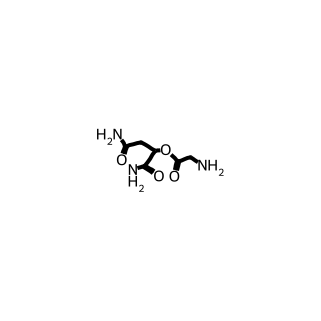 NCC(=O)OC(CC(N)=O)C(N)=O